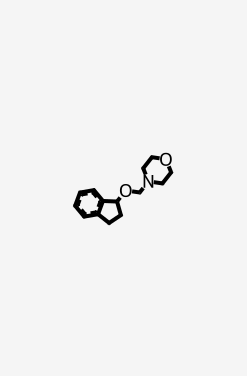 c1ccc2c(c1)CCC2OCN1CCOCC1